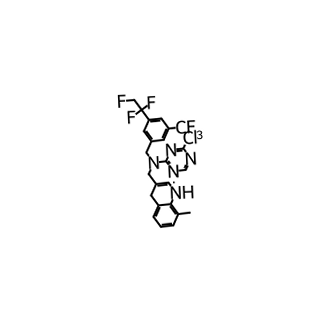 Cc1cccc2c1N[C]=C(CN(Cc1cc(C(F)(F)F)cc(C(F)(F)CF)c1)c1ncnc(Cl)n1)C2